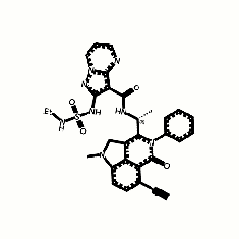 C#Cc1ccc2c3c(c([C@@H](C)NC(=O)c4c(NS(=O)(=O)NCC)nn5cccnc45)n(-c4ccccc4)c(=O)c13)CN2C